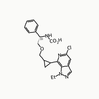 CCn1ncc2cc(Cl)nc(C3CC3COC[C@@H](NC(=O)O)c3ccccc3)c21